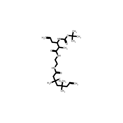 C=CCC(NC(=O)OC(C)(C)C)C(C)C(=O)NCCNC(=O)CC(C)(C)CC(C)(C)CC=C